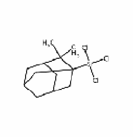 CC1(C)C2CC3CC(C2)CC1([Si](Cl)(Cl)Cl)C3